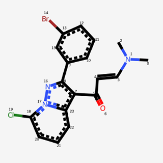 CN(C)C=CC(=O)c1c(-c2cccc(Br)c2)nn2c(Cl)cccc12